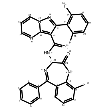 O=C(N[C@H]1N=C(c2ccccc2)c2cccc(F)c2NC1=O)c1c(-c2c(F)cccc2F)nn2cccnc12